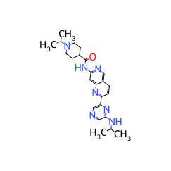 CC(C)Nc1cncc(-c2ccc3cnc(NC(=O)C4CCN(C(C)C)CC4)cc3n2)n1